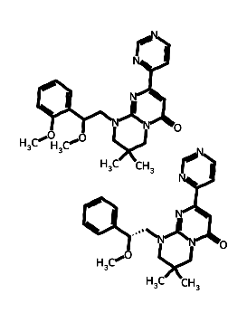 CO[C@@H](CN1CC(C)(C)Cn2c1nc(-c1ccncn1)cc2=O)c1ccccc1.COc1ccccc1C(CN1CC(C)(C)Cn2c1nc(-c1ccncn1)cc2=O)OC